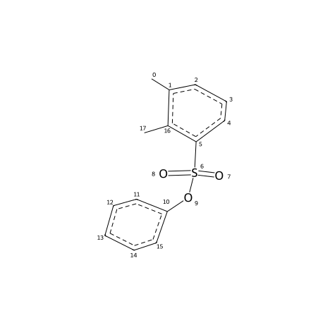 Cc1cccc(S(=O)(=O)Oc2ccccc2)c1C